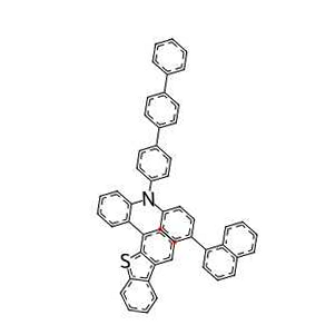 c1ccc(-c2ccc(-c3ccc(N(c4ccc(-c5cccc6ccccc56)cc4)c4ccccc4-c4cccc5c4sc4ccccc45)cc3)cc2)cc1